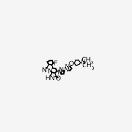 CN(C)[C@H]1CC[C@H](Oc2ccn(-c3ccn(-c4cc(-c5c(F)cccc5C#N)nc5c4C(=O)NC5)n3)n2)CC1